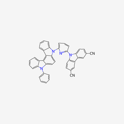 N#Cc1ccc2c(c1)c1cc(C#N)ccc1n2-c1cccc(-n2c3ccccc3c3c4c5ccccc5n(-c5ccccc5)c4ccc32)n1